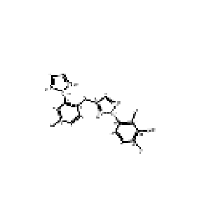 Cc1ccc(Cc2cnn(-c3ccc(C)c(F)c3C)n2)c(-n2nccn2)c1